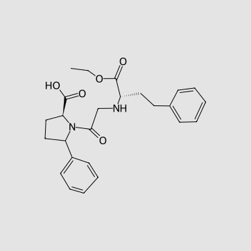 CCOC(=O)[C@H](CCc1ccccc1)NCC(=O)N1C(c2ccccc2)CC[C@H]1C(=O)O